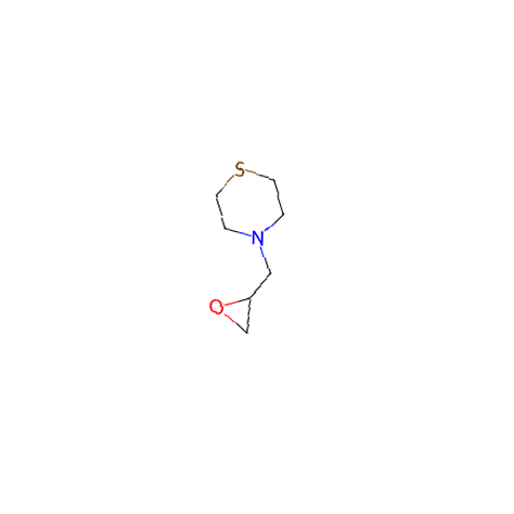 C1CN(CC2CO2)CCS1